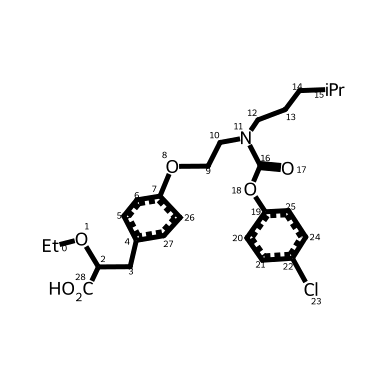 CCOC(Cc1ccc(OCCN(CCCC(C)C)C(=O)Oc2ccc(Cl)cc2)cc1)C(=O)O